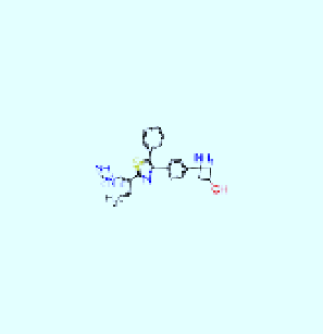 C=C/C(=C\N=C/N)c1nc(-c2ccc(C3(N)CC(O)C3)cc2)c(-c2ccccc2)s1